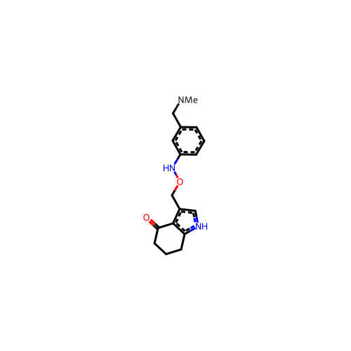 CNCc1cccc(NOCc2c[nH]c3c2C(=O)CCC3)c1